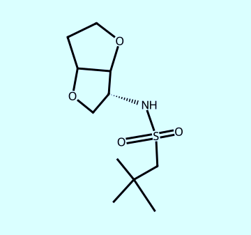 CC(C)(C)CS(=O)(=O)N[C@@H]1COC2CCOC21